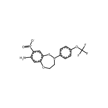 Nc1cc2c(cc1[N+](=O)[O-])SN(c1ccc(OC(F)(F)F)cc1)CCO2